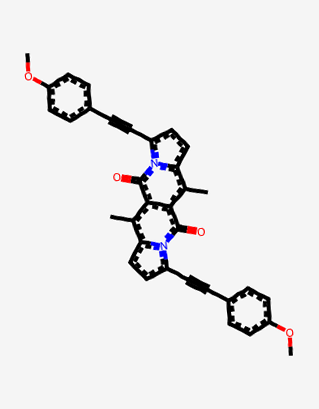 COc1ccc(C#Cc2ccc3c(C)c4c(=O)n5c(C#Cc6ccc(OC)cc6)ccc5c(C)c4c(=O)n23)cc1